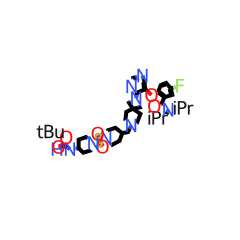 CC(C)N(C(=O)c1cc(F)ccc1Oc1cncnc1N1CC2(CCN(CC3CCN(S(=O)(=O)N4CCC(NC(=O)OC(C)(C)C)CC4)CC3)CC2)C1)C(C)C